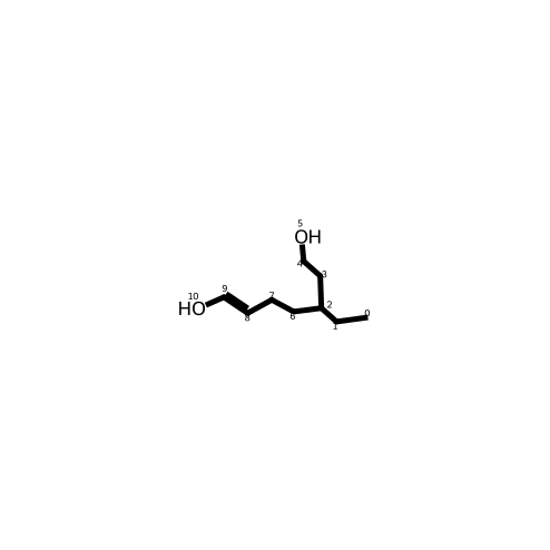 CCC(CCO)CCC=CO